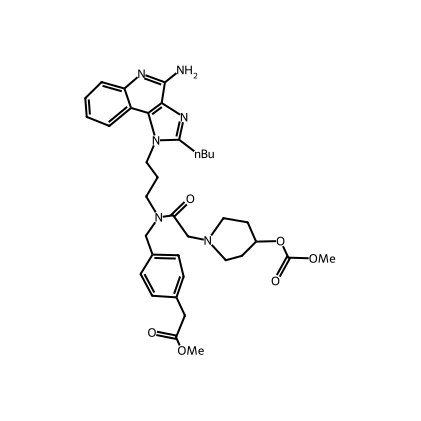 CCCCc1nc2c(N)nc3ccccc3c2n1CCCN(Cc1ccc(CC(=O)OC)cc1)C(=O)CN1CCC(OC(=O)OC)CC1